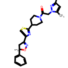 C[C@]1(c2ccccc2)CC(c2csc(C3CCN(C(=O)Cn4nc(C(F)(F)F)cc4C(F)(F)F)CC3)n2)=NO1